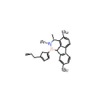 C=CCC1=CC=C(B2C3c4cc(C(C)(C)C)ccc4-c4ccc(C(C)(C)C)c(c43)C(C)N2C(C)C)C1